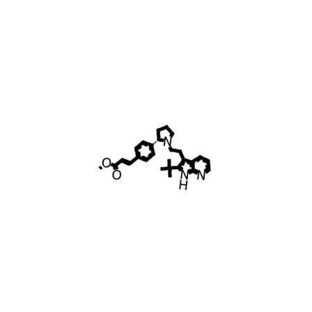 COC(=O)C=Cc1ccc([C@@H]2CCCN2CCc2c(C(C)(C)C)[nH]c3ncccc23)cc1